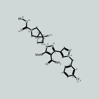 CNc1c(C(N)=O)c(-c2cnn(Cc3cccc(C(F)(F)F)c3)c2)nn1[C@@H]1C[C@]23CN(C(=O)OC(C)(C)C)CC2[C@H]13